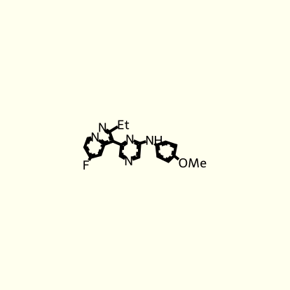 CCc1nn2ccc(F)cc2c1-c1cncc(Nc2ccc(OC)cc2)n1